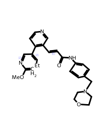 C=C(/N=C\C(=C/CC)c1ccncc1/C=C/C(=O)Nc1ccc(CN2CCOCC2)cc1)OC